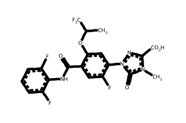 CC(Oc1cc(-n2nc(C(=O)O)n(C)c2=O)c(F)cc1C(=O)Nc1c(F)cccc1F)C(F)(F)F